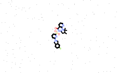 CC1CCN(c2ncccc2C(=O)NS(=O)(=O)c2cccc(N3Cc4ccc(F)cc4C3)n2)C1(C)C